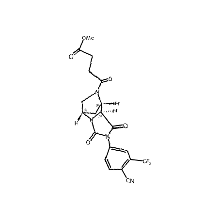 COC(=O)CCC(=O)N1C[C@@H]2C[C@H]1[C@H]1C(=O)N(c3ccc(C#N)c(C(F)(F)F)c3)C(=O)N21